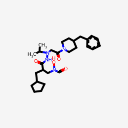 CC(C)N(CC(=O)N1CCC(Cc2ccccc2)CC1)NC(=O)C(CC1CCCC1)CN(O)C=O